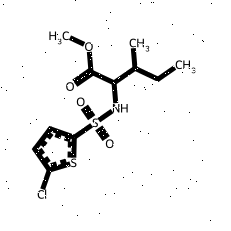 CCC(C)C(NS(=O)(=O)c1ccc(Cl)s1)C(=O)OC